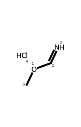 COC=N.Cl